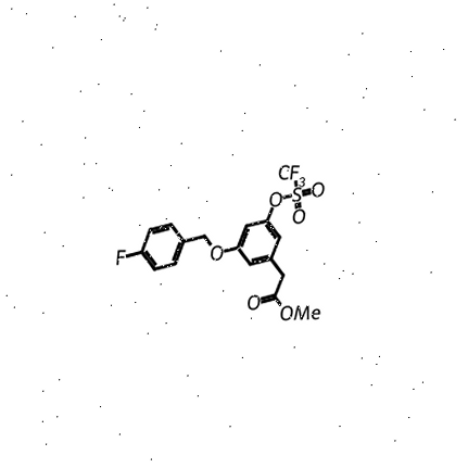 COC(=O)Cc1cc(OCc2ccc(F)cc2)cc(OS(=O)(=O)C(F)(F)F)c1